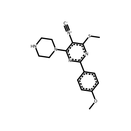 [C-]#[N+]c1c(SC)nc(-c2ccc(OC)cc2)nc1N1CCNCC1